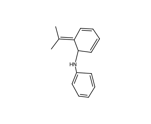 CC(C)=C1C=CC=CC1Nc1ccccc1